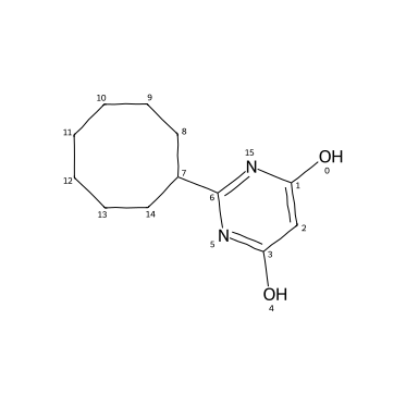 Oc1cc(O)nc(C2CCCCCCC2)n1